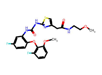 COCCNC(=O)Cc1csc(NC(=O)Nc2cc(F)ccc2Oc2c(F)cccc2OC)n1